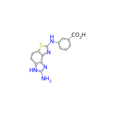 Nc1nc2c(ccc3sc(Nc4cccc(C(=O)O)c4)nc32)[nH]1